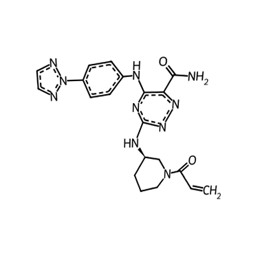 C=CC(=O)N1CCC[C@@H](Nc2nnc(C(N)=O)c(Nc3ccc(-n4nccn4)cc3)n2)C1